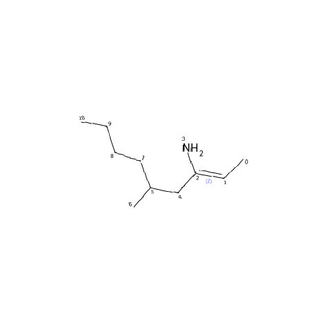 C/C=C(\N)CC(C)CCCC